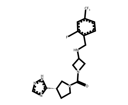 O=C(N1CC(NCc2ccc(C(F)(F)F)cc2F)C1)N1CC[C@H](c2ncn[nH]2)C1